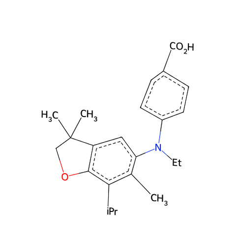 CCN(c1ccc(C(=O)O)cc1)c1cc2c(c(C(C)C)c1C)OCC2(C)C